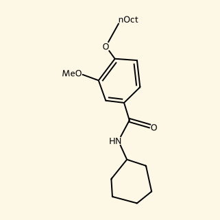 CCCCCCCCOc1ccc(C(=O)NC2CCCCC2)cc1OC